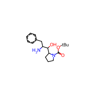 CC(C)(C)OC(=O)N1CCCC1C(O)C(N)Cc1ccccc1